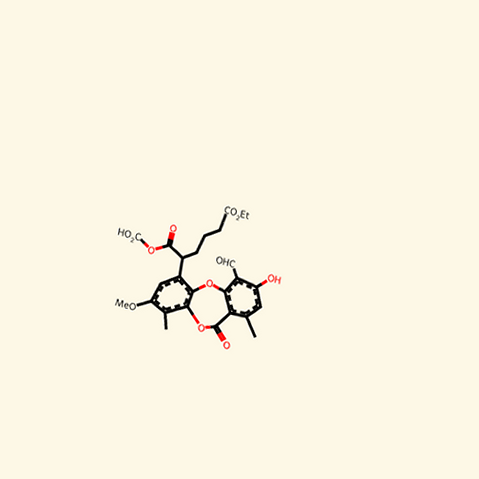 CCOC(=O)CCCC(C(=O)OC(=O)O)c1cc(OC)c(C)c2c1Oc1c(C=O)c(O)cc(C)c1C(=O)O2